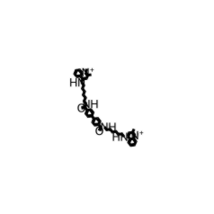 Cc1cc(NCCCCCCNC(=O)c2ccc(-c3ccc(C(=O)NCCCCCCNc4cc(C)[n+](C)c5ccccc45)cc3)cc2)c2ccccc2[n+]1C